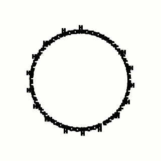 C1CNCCNCCNCCNCCNCCNCCNCCNCCNCCNCCNCCNCCNCCNCCNCCNCCSSC1